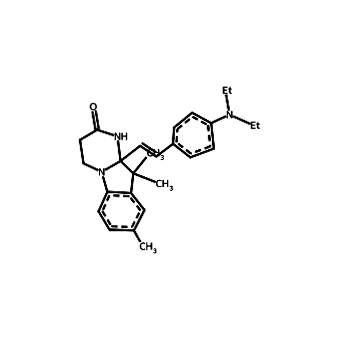 CCN(CC)c1ccc(C=CC23NC(=O)CCN2c2ccc(C)cc2C3(C)C)cc1